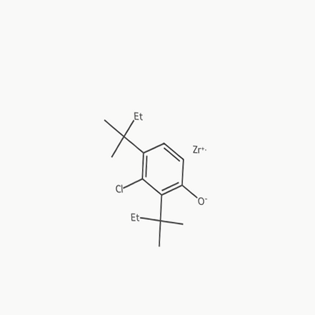 CCC(C)(C)c1ccc([O-])c(C(C)(C)CC)c1Cl.[Zr+]